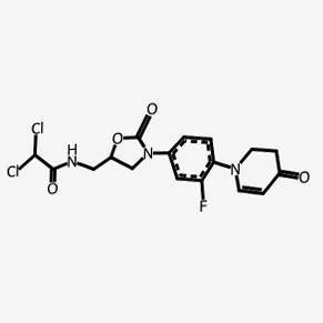 O=C1C=CN(c2ccc(N3CC(CNC(=O)C(Cl)Cl)OC3=O)cc2F)CC1